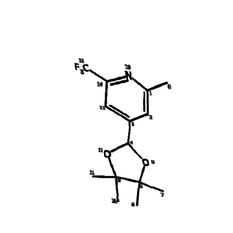 Cc1cc(C2OC(C)(C)C(C)(C)O2)cc(C(F)(F)F)n1